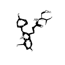 O=C(CCc1c(-c2ccc(F)cc2)[nH]c2c(F)cc(F)cc12)N[C@@H](CO)C(F)F